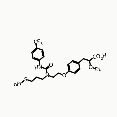 CCCSCCCN(CCOc1ccc(CC(OCC)C(=O)O)cc1)C(=O)Nc1ccc(C(F)(F)F)cc1